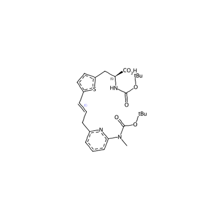 CN(C(=O)OC(C)(C)C)c1cccc(C/C=C/c2ccc(C[C@H](NC(=O)OC(C)(C)C)C(=O)O)s2)n1